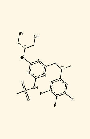 CC(C)C[C@H](CO)Nc1nc(C[C@H](C)c2cc(F)c(F)c(F)c2)nc(NS(C)(=O)=O)n1